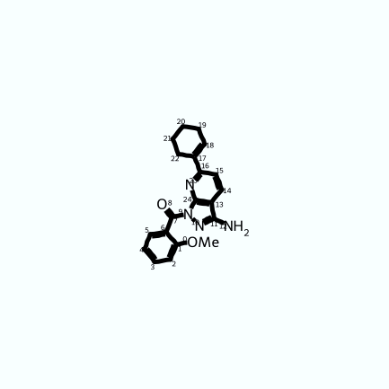 COc1ccccc1C(=O)n1nc(N)c2ccc(C3=CCCCC3)nc21